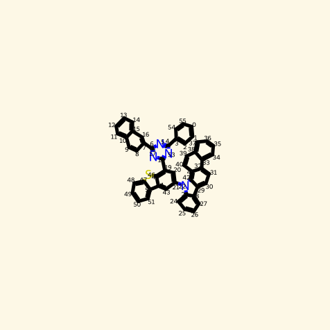 c1ccc(-c2nc(-c3ccc4ccccc4c3)nc(-c3cc(-n4c5ccccc5c5ccc6c7ccccc7ccc6c54)cc4c3sc3ccccc34)n2)cc1